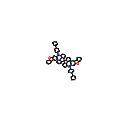 c1ccc(-c2ccc(N(c3ccc4c(c3)oc3ccccc34)c3cccc4c3-c3ccccc3C43c4ccccc4-c4c(N(c5ccc(-c6ccccc6)cc5)c5ccc6c(c5)oc5ccccc56)cccc43)cc2)cc1